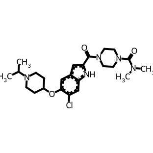 CC(C)N1CCC(Oc2cc3cc(C(=O)N4CCN(C(=O)N(C)C)CC4)[nH]c3cc2Cl)CC1